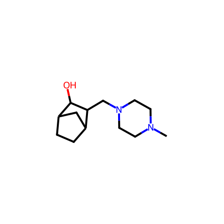 CN1CCN(CC2C3CCC(C3)C2O)CC1